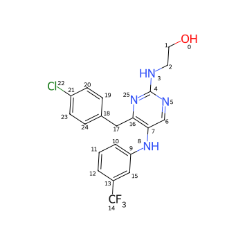 OCCNc1ncc(Nc2cccc(C(F)(F)F)c2)c(Cc2ccc(Cl)cc2)n1